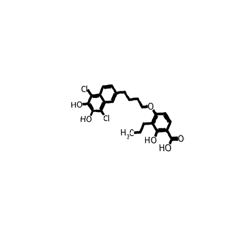 CCCc1c(OCCCCc2ccc3c(Cl)c(O)c(O)c(Cl)c3c2)ccc(C(=O)O)c1O